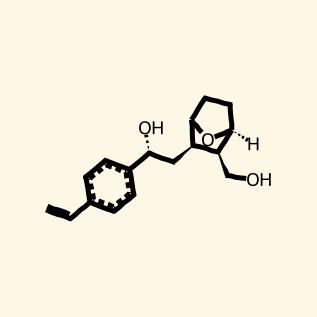 C=Cc1ccc([C@H](O)C[C@H]2C3CC[C@H](O3)[C@H]2CO)cc1